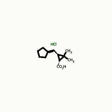 CC1(C)[C@H](C=C2CCCC2)[C@H]1C(=O)O.Cl